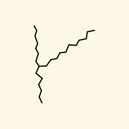 [CH2]CCCCCC(CCCCCCC)CCCCCCCCCCC